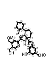 COCc1cc(C(=O)NC2(c3nc4cc(C=O)cc(C#N)c4o3)C=CC=C(c3ccccc3C)C2Cl)ncc1CO